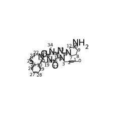 CC#CCn1c(N2CCCC(N)C2)nc2c1c(=O)n(CC1=NCCSc3ccccc31)c(=O)n2C